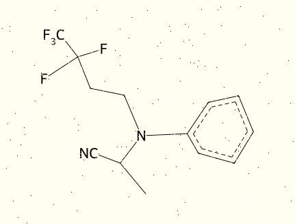 CC(C#N)N(CCC(F)(F)C(F)(F)F)c1ccccc1